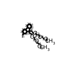 COCCOCCOCCC1(CCOCCOCCOC)c2ccccc2-c2ccc(I)cc21